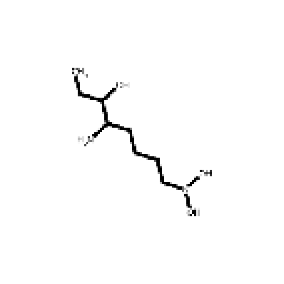 CCC(O)C(N)CCCCB(O)O